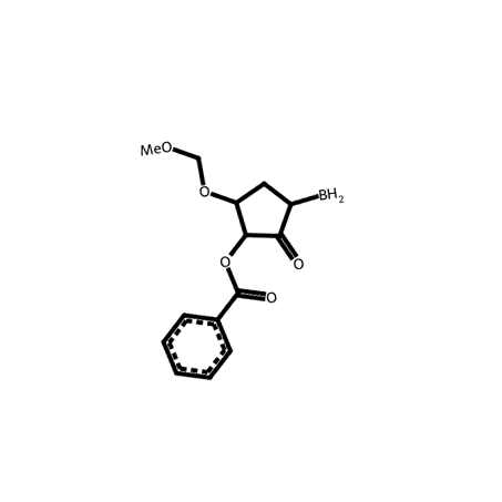 BC1CC(OCOC)C(OC(=O)c2ccccc2)C1=O